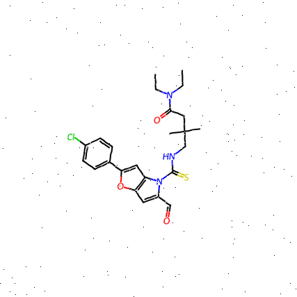 CCN(CC)C(=O)CC(C)(C)CNC(=S)n1c(C=O)cc2oc(-c3ccc(Cl)cc3)cc21